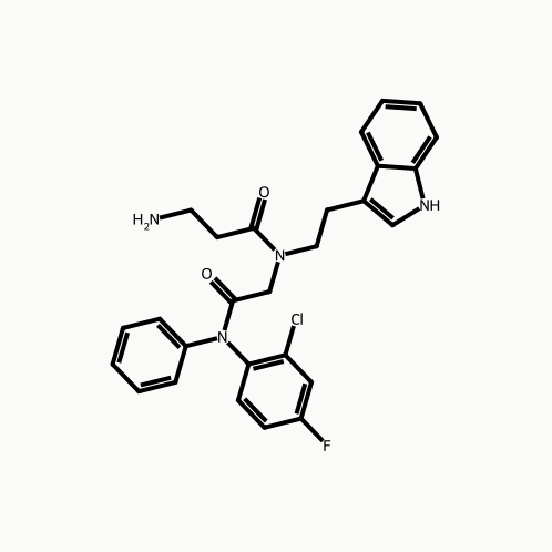 NCCC(=O)N(CCc1c[nH]c2ccccc12)CC(=O)N(c1ccccc1)c1ccc(F)cc1Cl